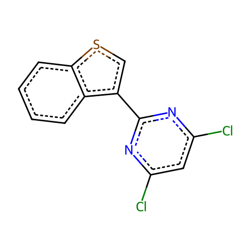 Clc1cc(Cl)nc(-c2csc3ccccc23)n1